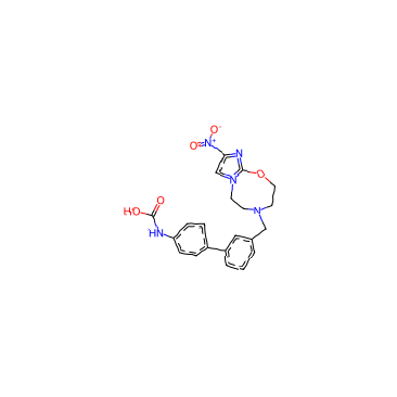 O=C(O)Nc1ccc(-c2cccc(CN3CCOc4nc([N+](=O)[O-])cn4CC3)c2)cc1